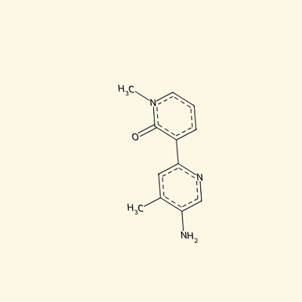 Cc1cc(-c2cccn(C)c2=O)ncc1N